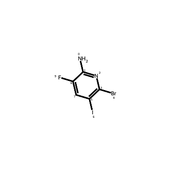 Nc1nc(Br)c(I)cc1F